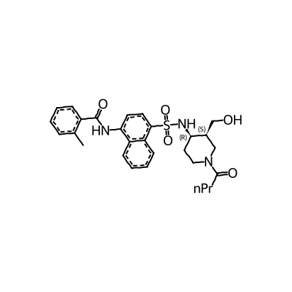 CCCC(=O)N1CC[C@@H](NS(=O)(=O)c2ccc(NC(=O)c3ccccc3C)c3ccccc23)[C@@H](CO)C1